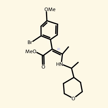 COC(=O)/C(=C(/C)NC(C)C1CCOCC1)c1ccc(OC)cc1Br